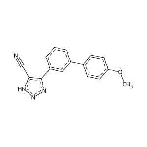 COc1ccc(-c2cccc(-c3nn[nH]c3C#N)c2)cc1